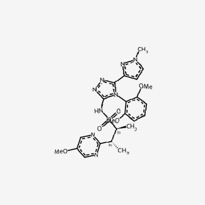 COc1cnc([C@@H](C)[C@H](C)S(=O)(=O)Nc2nnc(-c3ccn(C)n3)n2-c2c(OC)cccc2OC)nc1